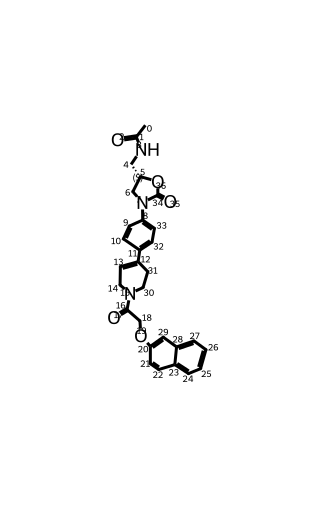 CC(=O)NC[C@H]1CN(c2ccc(C3=CCN(C(=O)COc4ccc5ccccc5c4)CC3)cc2)C(=O)O1